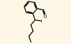 CCCCC(I)c1ccccc1C=O